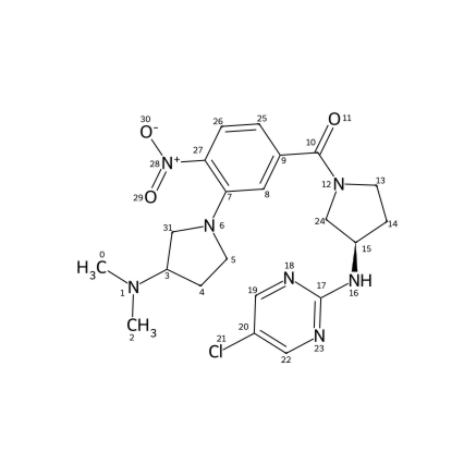 CN(C)C1CCN(c2cc(C(=O)N3CC[C@@H](Nc4ncc(Cl)cn4)C3)ccc2[N+](=O)[O-])C1